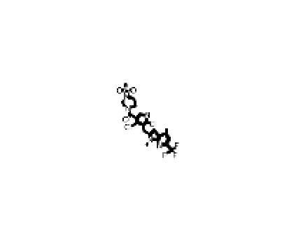 Cc1cc(C(F)(F)F)nc2c1cc(Cc1c(Cl)ncc(C(=O)N3CCN(S(C)(=O)=O)CC3)c1Cl)n2C